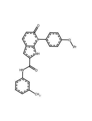 Cc1cccc(NC(=O)c2cc3ccc(=O)n(-c4ccc(OC(C)C)cc4)c3[nH]2)c1